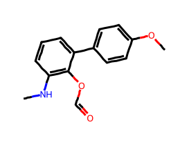 CNc1cccc(-c2ccc(OC)cc2)c1OC=O